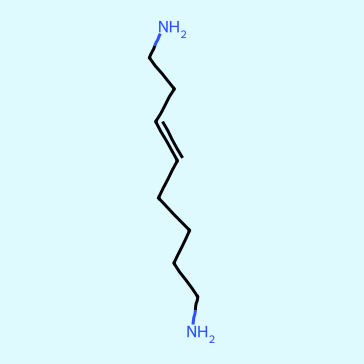 NCCC=CCCCCN